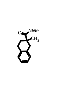 CNC(=O)C1(C)CCc2ccccc2C1